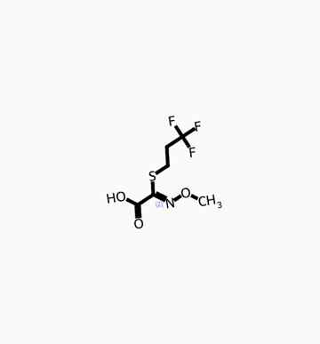 CO/N=C(\SCCC(F)(F)F)C(=O)O